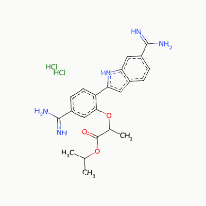 CC(C)OC(=O)C(C)Oc1cc(C(=N)N)ccc1-c1cc2ccc(C(=N)N)cc2[nH]1.Cl.Cl